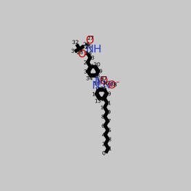 CCCCCCCCCCCCc1ccc(/N=N/c2ccc(CCC(NC=O)OC(C)(C)C)cc2)c([N+](=O)[O-])c1